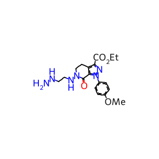 CCOC(=O)c1nn(-c2ccc(OC)cc2)c2c1CCN(NCCNN)C2=O